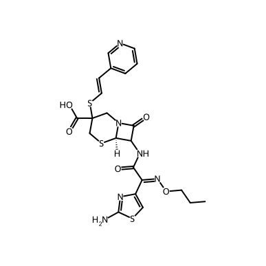 CCCON=C(C(=O)NC1C(=O)N2CC(SC=Cc3cccnc3)(C(=O)O)CS[C@H]12)c1csc(N)n1